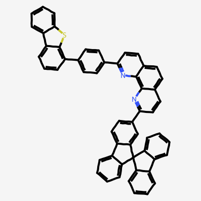 c1ccc2c(c1)-c1ccccc1C21c2ccccc2-c2ccc(-c3ccc4ccc5ccc(-c6ccc(-c7cccc8c7sc7ccccc78)cc6)nc5c4n3)cc21